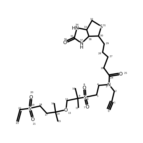 C#CCN(CCS(=O)(=O)C(C)(C)COC(C)(C)CCS(=O)(=O)C=C)C(=O)CCCCC1SCC2NC(=O)NC21